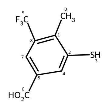 Cc1c(S)cc(C(=O)O)cc1C(F)(F)F